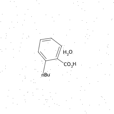 CCCCc1ccccc1C(=O)O.O